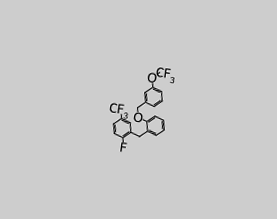 Fc1ccc(C(F)(F)F)cc1Cc1ccccc1OCc1cccc(OC(F)(F)F)c1